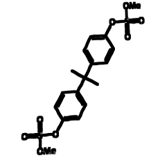 COS(=O)(=O)Oc1ccc(C(C)(C)c2ccc(OS(=O)(=O)OC)cc2)cc1